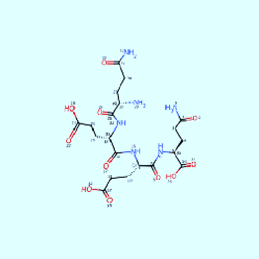 NC(=O)CC[C@H](NC(=O)[C@H](CCC(=O)O)NC(=O)[C@H](CCC(=O)O)NC(=O)[C@@H](N)CCC(N)=O)C(=O)O